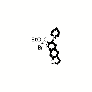 CCOC(=O)c1nc2cc3c(cc2cc1-[n+]1ccccc1)CCO3.[Br-]